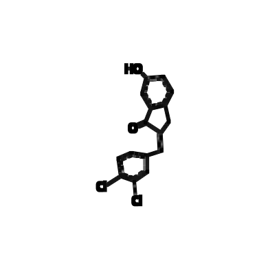 O=C1C(=Cc2ccc(Cl)c(Cl)c2)Cc2ccc(O)cc21